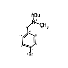 CCCCN(C)Cc1ccc(Br)cc1